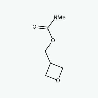 CNC(=O)OCC1COC1